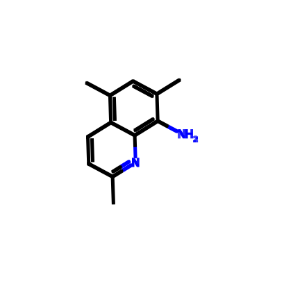 Cc1ccc2c(C)cc(C)c(N)c2n1